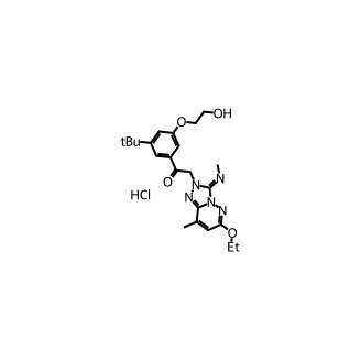 CCOc1cc(C)c2nn(CC(=O)c3cc(OCCO)cc(C(C)(C)C)c3)/c(=N\C)n2n1.Cl